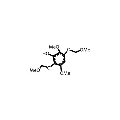 COCOc1cc(OC)c(OCOC)c(O)c1OC